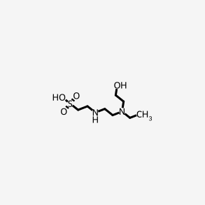 CCN(CCO)CCNCCS(=O)(=O)O